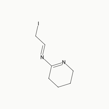 IC/C=N/C1=NCCCC1